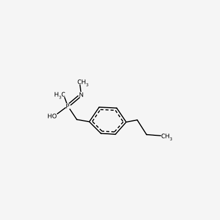 CCCc1ccc(CP(C)(O)=NC)cc1